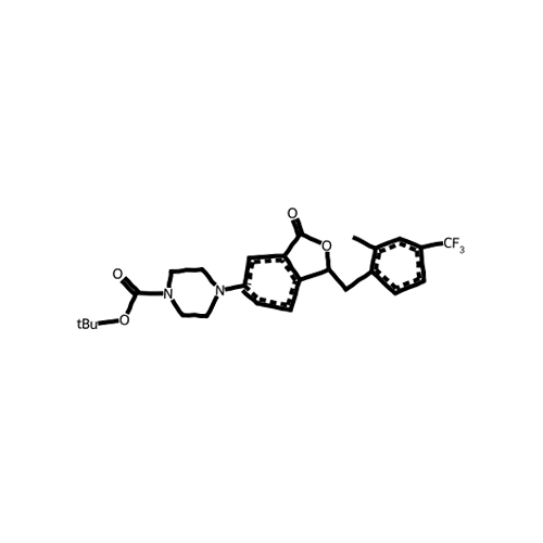 Cc1cc(C(F)(F)F)ccc1CC1OC(=O)c2cc(N3CCN(C(=O)OC(C)(C)C)CC3)ccc21